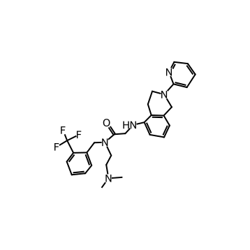 CN(C)CCN(Cc1ccccc1C(F)(F)F)C(=O)CNc1cccc2c1CCN(c1ccccn1)C2